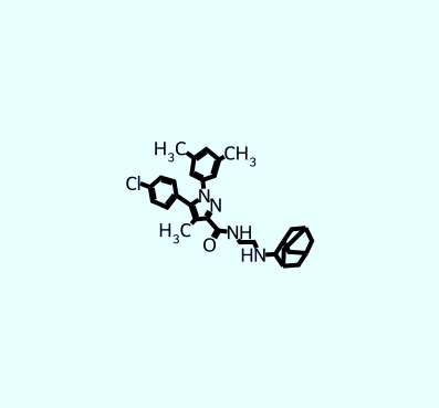 Cc1cc(C)cc(-n2nc(C(=O)NCCNC3C4CC5CC(C4)CC3C5)c(C)c2-c2ccc(Cl)cc2)c1